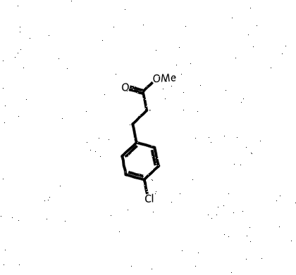 COC(=O)[CH]Cc1ccc(Cl)cc1